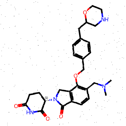 CN(C)Cc1ccc2c(c1OCc1ccc(CC3CNCCO3)cc1)CN([C@H]1CCC(=O)NC1=O)C2=O